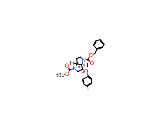 CC(C)(C)OC(=O)N1C[C@H](Oc2ccc(F)cc2)[C@@H]2[C@H]1CCN2C(=O)OCc1ccccc1